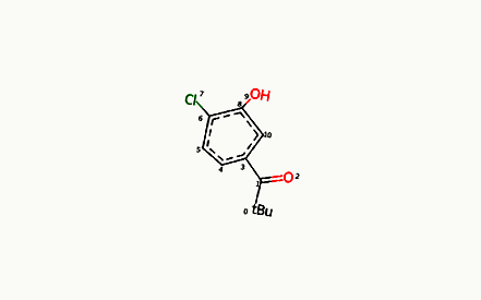 CC(C)(C)C(=O)c1ccc(Cl)c(O)c1